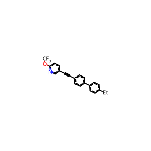 CCc1ccc(-c2ccc(C#Cc3ccc(OC(F)(F)F)nc3)cc2)cc1